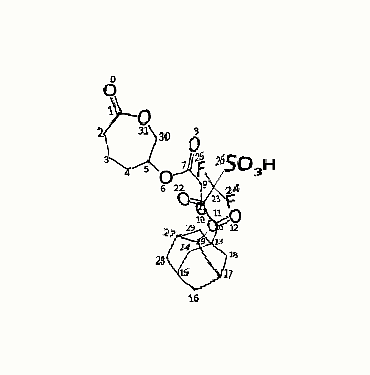 O=C1CCCC(OC(=O)COC(=O)C23CC4CC(C2)C(OC(=O)C(F)(F)S(=O)(=O)O)C(C4)C3)CO1